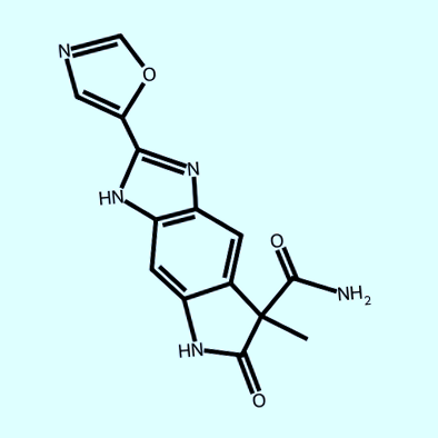 CC1(C(N)=O)C(=O)Nc2cc3[nH]c(-c4cnco4)nc3cc21